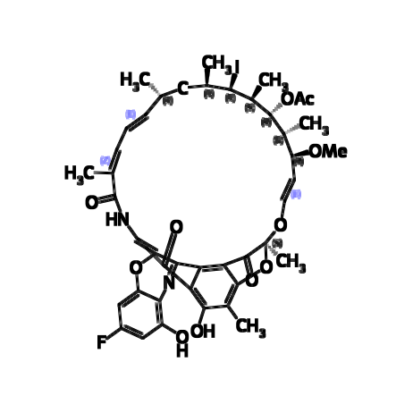 CO[C@H]1/C=C/O[C@@]2(C)Oc3c(C)c(O)c4c(=O)c(c5oc6cc(F)cc(O)c6nc-5c4c3C2=O)NC(=O)/C(C)=C\C=C\[C@H](C)C[C@@H](C)[C@@H](I)[C@@H](C)[C@H](OC(C)=O)[C@@H]1C